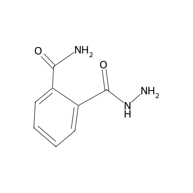 NNC(=O)c1ccccc1C(N)=O